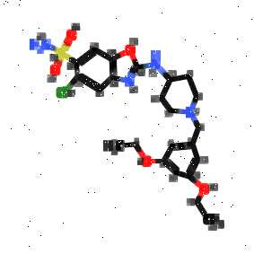 CCOc1cc(CN2CCC(Nc3nc4cc(Cl)c(S(N)(=O)=O)cc4o3)CC2)cc(OCC)c1